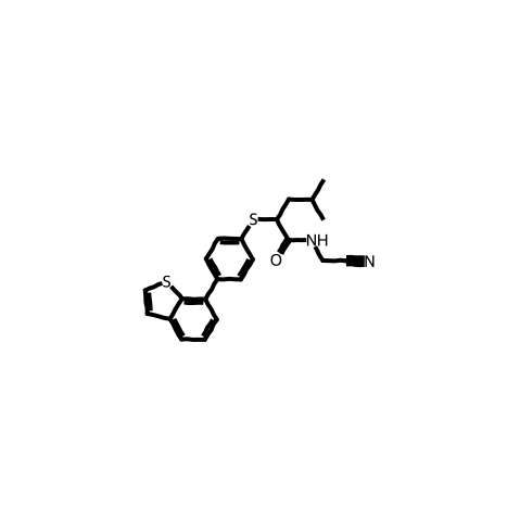 CC(C)CC(Sc1ccc(-c2cccc3ccsc23)cc1)C(=O)NCC#N